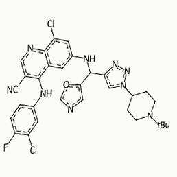 CC(C)(C)N1CCC(n2cc(C(Nc3cc(Cl)c4ncc(C#N)c(Nc5ccc(F)c(Cl)c5)c4c3)c3cnco3)nn2)CC1